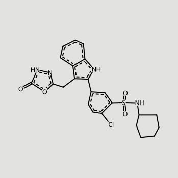 O=c1[nH]nc(Cc2c(-c3ccc(Cl)c(S(=O)(=O)NC4CCCCC4)c3)[nH]c3ccccc23)o1